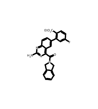 CCOC(=O)c1ccc(F)cc1-c1ccc2nc(N)nc(C(=O)N3Cc4ccccc4C3)c2c1